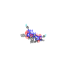 CN[C@@H](C)C(=O)N[C@H](C(=O)N1C[C@@H](NC(=O)c2ccc(C(=O)N[C@H]3C[C@@H](C(=O)NCCc4ccc(F)cc4)N(C(=O)[C@@H](NC(=O)[C@H](C)NC)C(C)(C)C)C3)cc2)C[C@H]1C(=O)NCCc1ccc(F)cc1)C(C)(C)C